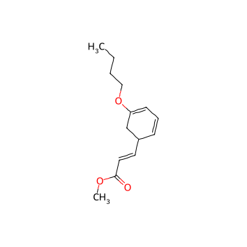 CCCCOC1=CC=CC(C=CC(=O)OC)C1